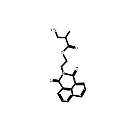 CC(CS)C(=O)OCCN1C(=O)c2cccc3cccc(c23)C1=O